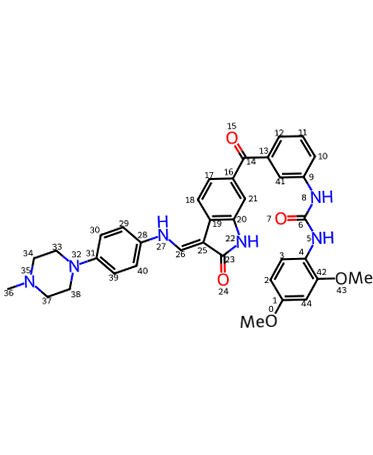 COc1ccc(NC(=O)Nc2cccc(C(=O)c3ccc4c(c3)NC(=O)C4=CNc3ccc(N4CCN(C)CC4)cc3)c2)c(OC)c1